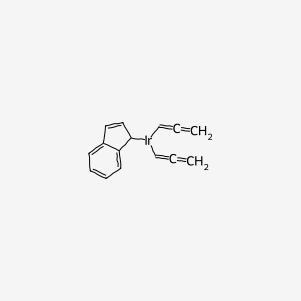 C=C=[CH][Ir]([CH]=C=C)[CH]1C=Cc2ccccc21